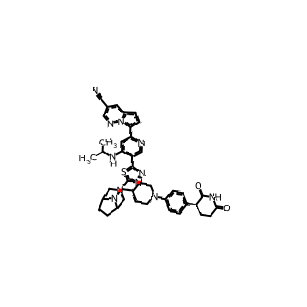 CC(C)Nc1cc(-c2ccc3cc(C#N)cnn23)ncc1-c1nnc(N2CC3CCC(C2)N3CC2CCN(c3ccc([C@@H]4CCC(=O)NC4=O)cc3)CC2)s1